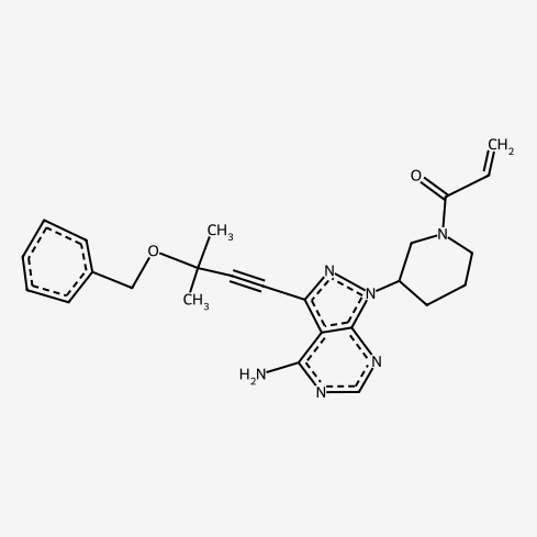 C=CC(=O)N1CCCC(n2nc(C#CC(C)(C)OCc3ccccc3)c3c(N)ncnc32)C1